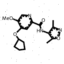 COc1cnc(C(=O)Nc2c(C)noc2C)cc1OC1CCCC1